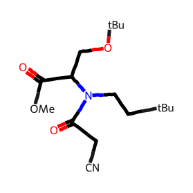 COC(=O)C(COC(C)(C)C)N(CCC(C)(C)C)C(=O)CC#N